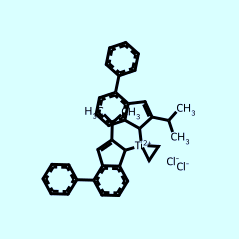 CC(C)C1=Cc2c(-c3ccccc3)cccc2[CH]1[Ti+2]1([CH]2C(C(C)C)=Cc3c(-c4ccccc4)cccc32)[CH2][CH2]1.[Cl-].[Cl-]